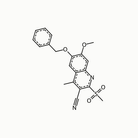 COc1cc2nc(S(C)(=O)=O)c(C#N)c(C)c2cc1OCc1ccccc1